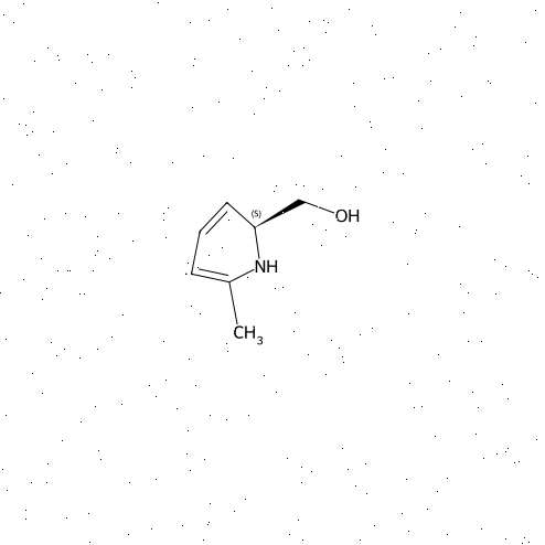 CC1=[C]C=C[C@@H](CO)N1